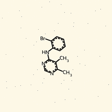 Cc1ncnc(Nc2ccccc2Br)c1C